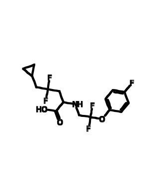 O=C(O)C(CC(F)(F)CC1CC1)NCC(F)(F)Oc1ccc(F)cc1